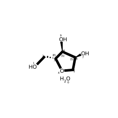 O.OC[C@H]1O[CH][C@H](O)[C@@H]1O